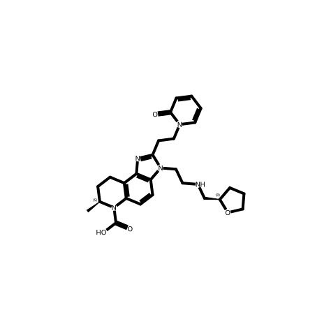 C[C@H]1CCc2c(ccc3c2nc(CCn2ccccc2=O)n3CCNC[C@H]2CCCO2)N1C(=O)O